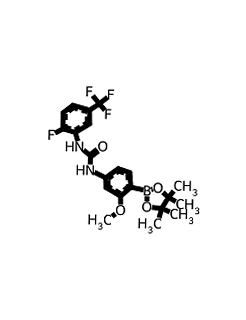 COc1cc(NC(=O)Nc2cc(C(F)(F)F)ccc2F)ccc1B1OC(C)(C)C(C)(C)O1